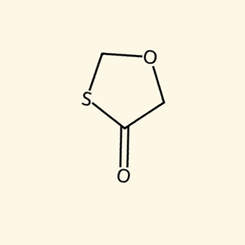 O=C1COCS1